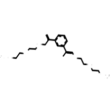 C=C(COCCOCCOC)c1cccc(/C(C)=C/OCCOCCOC)c1